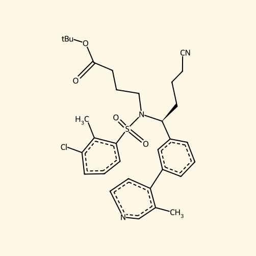 Cc1cnccc1-c1cccc([C@H](CCCC#N)N(CCCC(=O)OC(C)(C)C)S(=O)(=O)c2cccc(Cl)c2C)c1